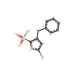 O=S(=O)(Cl)c1sc(Cl)cc1Cc1ccccc1